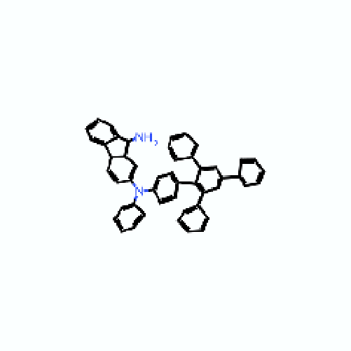 NC1c2ccccc2C2C=CC(N(c3ccccc3)c3ccc(-c4c(-c5ccccc5)cc(-c5ccccc5)cc4-c4ccccc4)cc3)=CC12